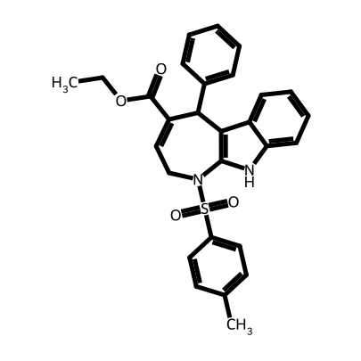 CCOC(=O)C1=CCN(S(=O)(=O)c2ccc(C)cc2)c2[nH]c3ccccc3c2C1c1ccccc1